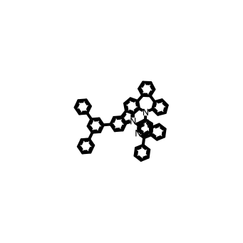 c1ccc(-c2cc(-c3ccccc3)cc(-c3ccc4c(c3)c3ccc5c(c3n4-c3nc(-c4ccccc4)c4ccccc4n3)N(c3ccccc3)c3ccccc3-c3ccccc3-5)c2)cc1